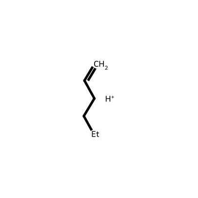 C=CCCCC.[H+]